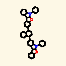 c1ccc(N2c3ccccc3C3c4ccc(-c5ccc(-c6ccc7c8c9ccccc9oc8n(-c8ccccc8)c7c6)c6ccccc56)cc4OC32)cc1